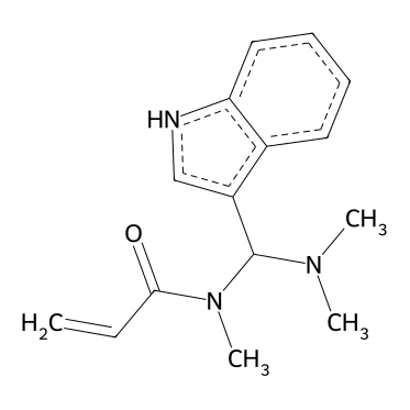 C=CC(=O)N(C)C(c1c[nH]c2ccccc12)N(C)C